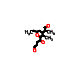 CCCCC(C(C)[C]=O)C(C)C(=O)C(=O)CCC=O